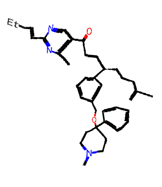 C=C(C)CCC[C@H](CCC(=O)c1cnc(/C=C/CC)nc1C)c1cccc(COC2(c3ccccc3)CCN(C)CC2)c1